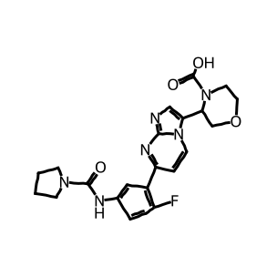 O=C(Nc1ccc(F)c(-c2ccn3c(C4COCCN4C(=O)O)cnc3n2)c1)N1CCCC1